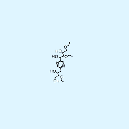 CCOC[C@H](O)[C@@H](OCC)C(O)c1cnc(C[C@H](O)[C@H](CO)OCC)cn1